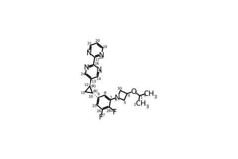 CC(C)OC1CN(c2cc([C@@H]3C[C@H]3c3cnc(-c4ncccn4)nc3)cc(F)c2F)C1